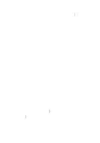 CCCCCC/C=C/C(F)F